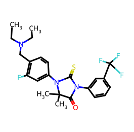 CCN(CC)Cc1ccc(N2C(=S)N(c3cccc(C(F)(F)F)c3)C(=O)C2(C)C)cc1F